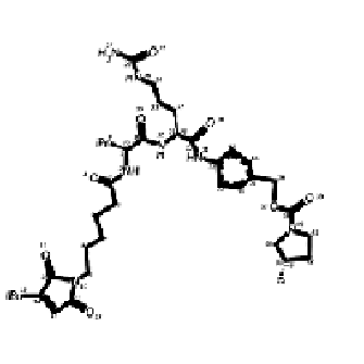 CC(C)[C@H](NC(=O)CCCCCN1C(=O)C=C(C(C)(C)C)C1=O)C(=O)N[C@@H](CCCNC(N)=O)C(=O)Nc1ccc(COC(=O)N2CC[C@H](C)C2)cc1